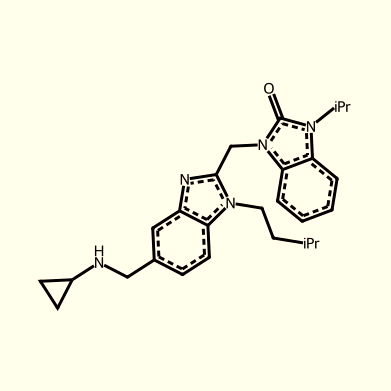 CC(C)CCn1c(Cn2c(=O)n(C(C)C)c3ccccc32)nc2cc(CNC3CC3)ccc21